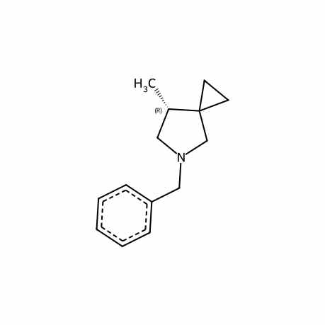 C[C@H]1CN(Cc2ccccc2)CC12CC2